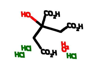 Cl.Cl.Cl.O.O=C(O)CC(O)(CC(=O)O)C(=O)O